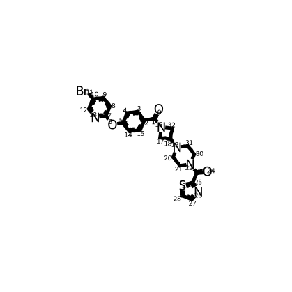 O=C(c1ccc(Oc2ccc(Br)cn2)cc1)N1CC(N2CCN(C(=O)c3nccs3)CC2)C1